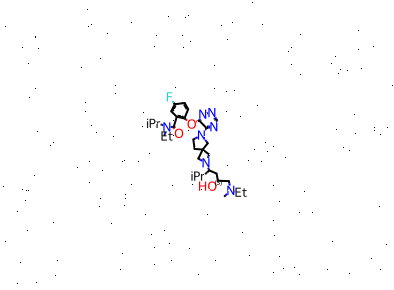 CCN(C)C[C@@H](O)CC(C(C)C)N1CC2(CCN(c3ncnnc3Oc3ccc(F)cc3C(=O)N(CC)C(C)C)C2)C1